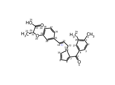 Cc1ccc(C(=O)c2cccn2C/C=C/c2cccc(O[C@@H](C)C(=O)O)c2)cc1C